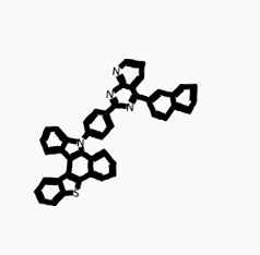 c1ccc2cc(-c3nc(-c4ccc(-n5c6ccccc6c6c7c8ccccc8sc7c7ccccc7c65)cc4)nc4ncccc34)ccc2c1